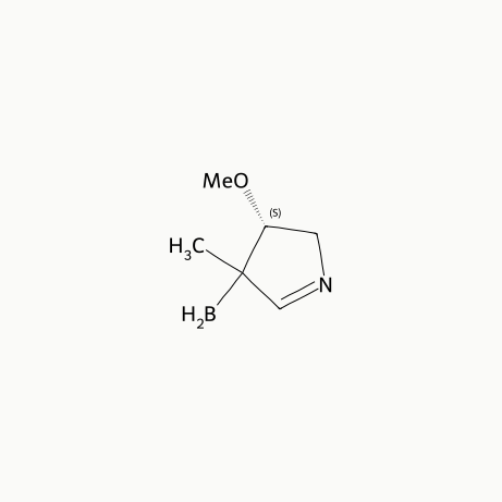 BC1(C)C=NC[C@H]1OC